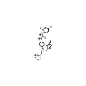 Cn1ncc(Cl)c1-c1cc(NC(=O)Nc2ccc(Cl)cc2F)ccc1OCCC1CCCN1